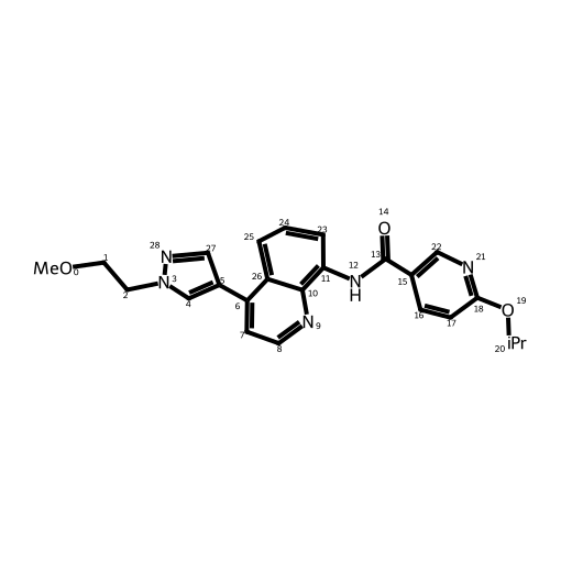 COCCn1cc(-c2ccnc3c(NC(=O)c4ccc(OC(C)C)nc4)cccc23)cn1